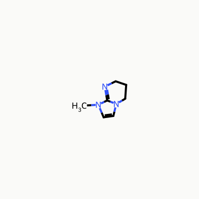 CN1C=CN2CCCN=C12